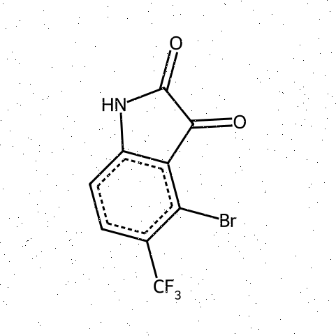 O=C1Nc2ccc(C(F)(F)F)c(Br)c2C1=O